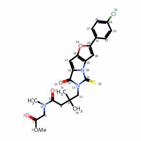 COC(=O)CN(C)C(=O)CC(C)(C)CN1C(=O)c2cc3oc(-c4ccc(Cl)cc4)cc3n2C1=S